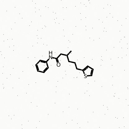 CC(CCCc1cccs1)CC(=O)Nc1ccccc1